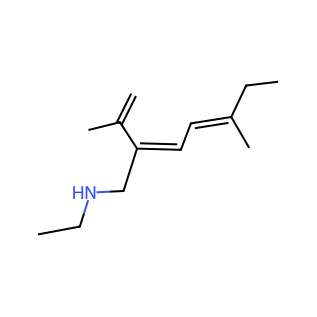 C=C(C)/C(=C\C=C(/C)CC)CNCC